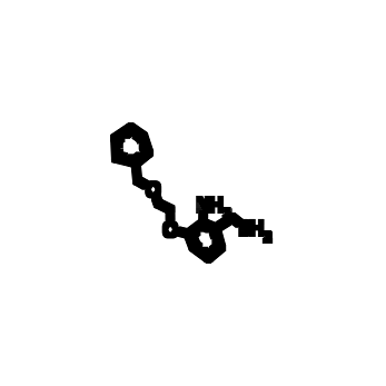 BCc1cccc(OCCOCc2ccccc2)c1N